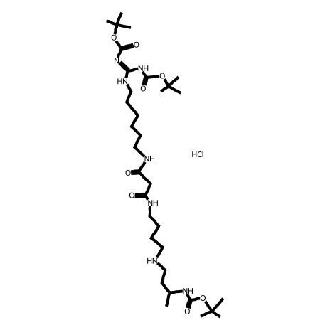 CC(CCNCCCCNC(=O)CC(=O)NCCCCCCN/C(=N/C(=O)OC(C)(C)C)NC(=O)OC(C)(C)C)NC(=O)OC(C)(C)C.Cl